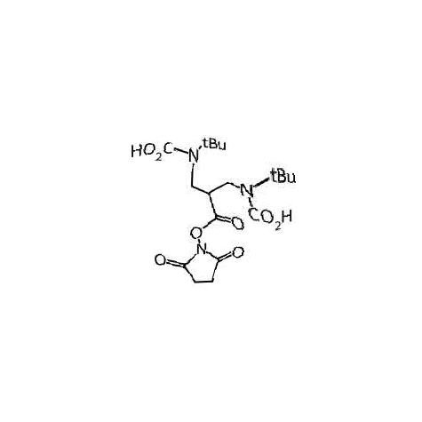 CC(C)(C)N(CC(CN(C(=O)O)C(C)(C)C)C(=O)ON1C(=O)CCC1=O)C(=O)O